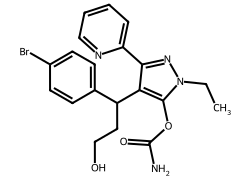 CCn1nc(-c2ccccn2)c(C(CCO)c2ccc(Br)cc2)c1OC(N)=O